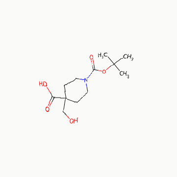 CC(C)(C)OC(=O)N1CCC(CO)(C(=O)O)CC1